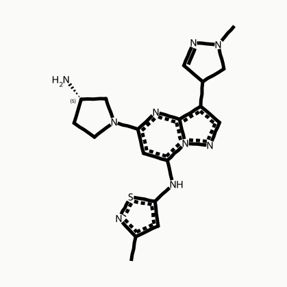 Cc1cc(Nc2cc(N3CC[C@H](N)C3)nc3c(C4C=NN(C)C4)cnn23)sn1